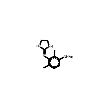 CC(=O)Nc1ccc(C)c(N=C2NCCN2)c1C